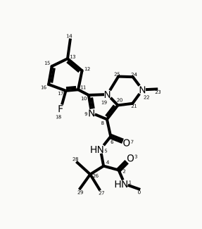 CNC(=O)C(NC(=O)c1nc(-c2cc(C)ccc2F)n2c1CN(C)CC2)C(C)(C)C